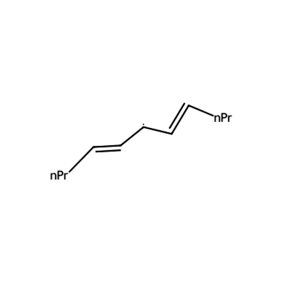 CCCC=C[CH]C=CCCC